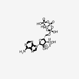 Nc1ncnc2c1ncn2[C@@H]1O[C@H](COP(=O)(O)OP(=O)(O)OP(=O)(O)O)[C@@H](O)[C@H]1O.O=S(=O)(O)O